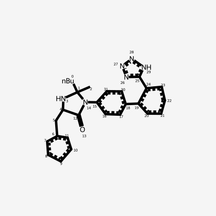 CCCCC1(C)NC(Cc2ccccc2)C(=O)N1c1ccc(-c2ccccc2-c2nnn[nH]2)cc1